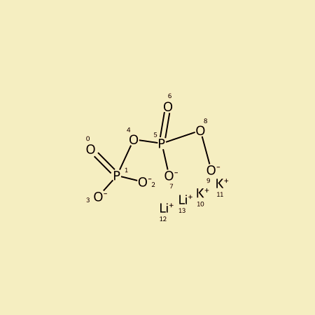 O=P([O-])([O-])OP(=O)([O-])O[O-].[K+].[K+].[Li+].[Li+]